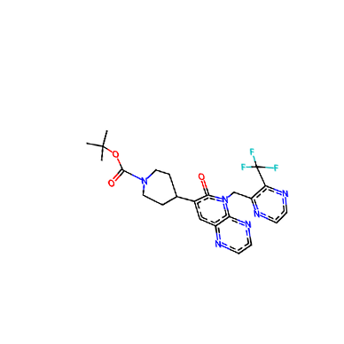 CC(C)(C)OC(=O)N1CCC(c2cc3nccnc3n(Cc3nccnc3C(F)(F)F)c2=O)CC1